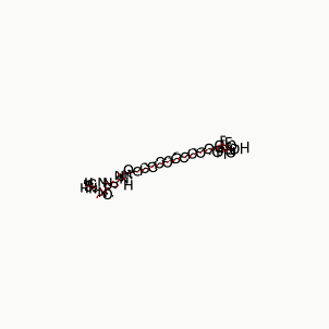 CCCN(CCCNC(=O)OC1CCC1)C(=O)C1=Cc2ccc(-c3cnc(CNC(=O)CCOCCOCCOCCOCCOCCOCCOCCOCCOCCOCCC(=O)Oc4c(F)c(F)c(S(=O)(=O)O)c(F)c4F)nc3)cc2N=C(N)C1